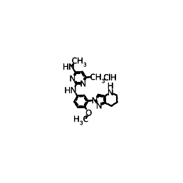 CNc1cc(C)nc(Nc2ccc(OC)c(-n3cc4c(n3)CCCN4)c2)n1.Cl